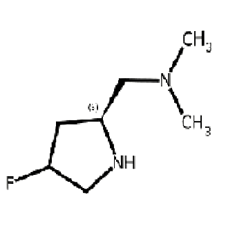 CN(C)C[C@@H]1CC(F)CN1